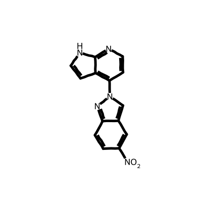 O=[N+]([O-])c1ccc2nn(-c3ccnc4[nH]ccc34)cc2c1